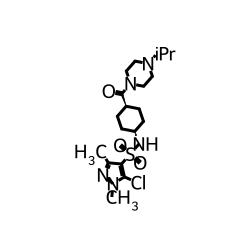 Cc1nn(C)c(Cl)c1S(=O)(=O)N[C@H]1CC[C@H](C(=O)N2CCN(C(C)C)CC2)CC1